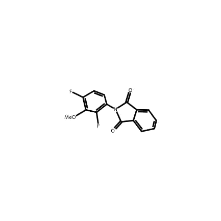 COc1c(F)ccc(N2C(=O)c3ccccc3C2=O)c1F